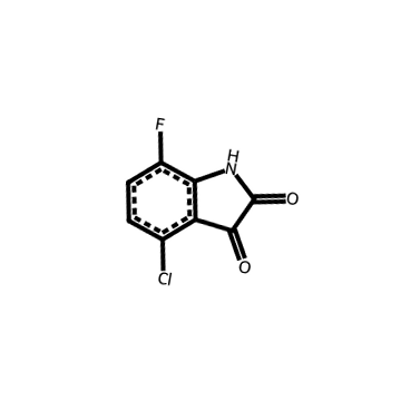 O=C1Nc2c(F)ccc(Cl)c2C1=O